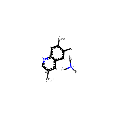 CCN(CC)CC.COc1cc2ncc(C(=O)O)cc2cc1C